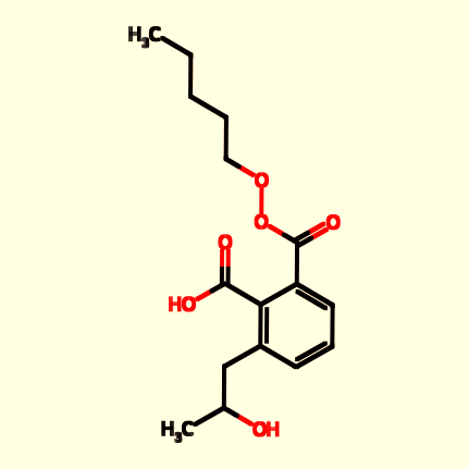 CCCCCOOC(=O)c1cccc(CC(C)O)c1C(=O)O